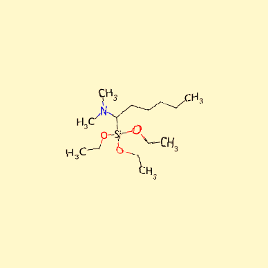 CCCCCC(N(C)C)[Si](OCC)(OCC)OCC